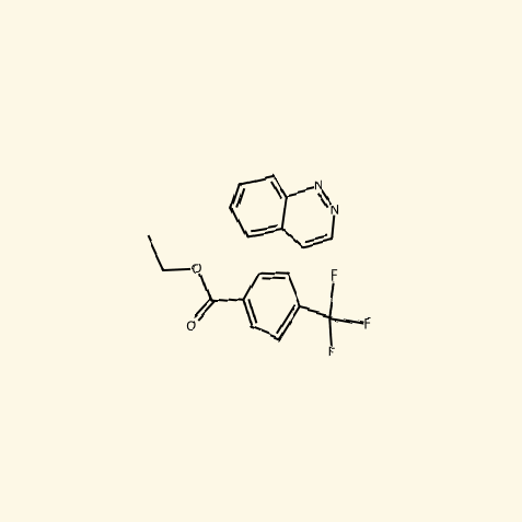 CCOC(=O)c1ccc(C(F)(F)F)cc1.c1ccc2nnccc2c1